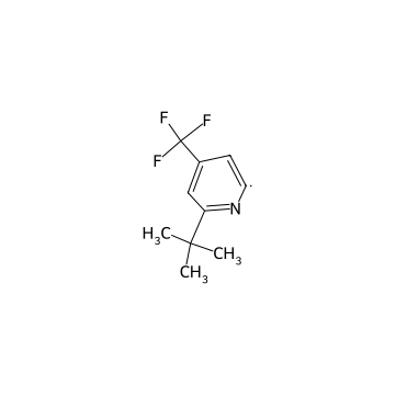 CC(C)(C)c1cc(C(F)(F)F)c[c]n1